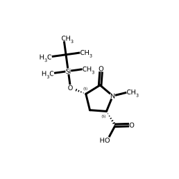 CN1C(=O)[C@@H](O[Si](C)(C)C(C)(C)C)C[C@H]1C(=O)O